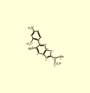 Cc1cc(N)ccc1-c1nc2sc(N(C(=O)O)C(C)(C)C)nc2cc1C(C)(C)C